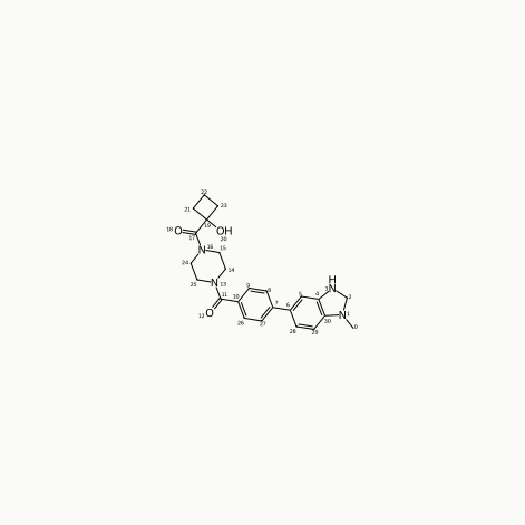 CN1CNc2cc(-c3ccc(C(=O)N4CCN(C(=O)C5(O)CCC5)CC4)cc3)ccc21